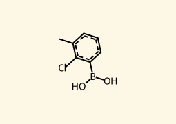 Cc1cccc(B(O)O)c1Cl